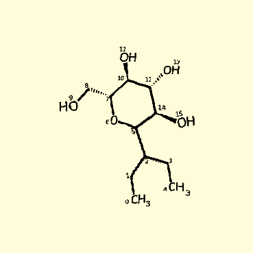 CCC(CC)C1O[C@H](CO)[C@@H](O)[C@H](O)[C@H]1O